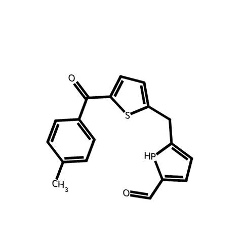 Cc1ccc(C(=O)c2ccc(Cc3ccc(C=O)[pH]3)s2)cc1